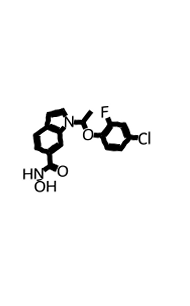 CC(Oc1ccc(Cl)cc1F)n1ccc2ccc(C(=O)NO)cc21